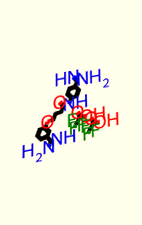 N=C(N)c1ccc(NC(=O)CCCOc2cccc(C(=N)N)c2)cc1.O=C(O)C(F)(F)F.O=C(O)C(F)(F)F